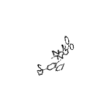 COC(=O)c1ccc2c(n1)nc(C)n2Cc1ccc(-c2cccs2)cc1Cl